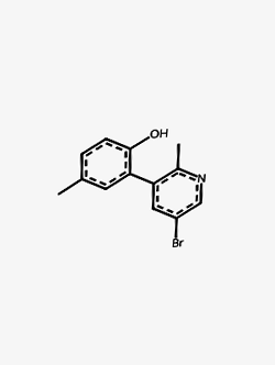 Cc1ccc(O)c(-c2cc(Br)cnc2C)c1